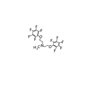 CN(CCOc1c(F)c(F)c(F)c(F)c1F)CCOc1c(F)c(F)c(F)c(F)c1F